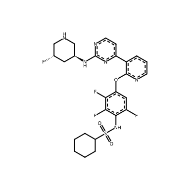 O=S(=O)(Nc1c(F)cc(Oc2ncccc2-c2ccnc(N[C@@H]3CNC[C@@H](F)C3)n2)c(F)c1F)C1CCCCC1